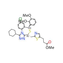 COC(=O)CCc1cnc(C[C@H]2S[C@H](c3cccc(OC)c3OC)c3cc(Cl)ccc3-n3c(C4CCCCC4)nnc32)s1